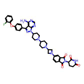 Nc1ncnc2c1c(-c1ccc(Oc3ccccc3F)cc1)nn2C1CCN(C2CCN(C3CN(c4ccc5c(c4)C(=O)N(C4CCC(=O)NC4=O)C5=O)C3)CC2)CC1